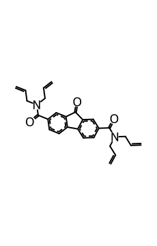 C=CCN(CC=C)C(=O)c1ccc2c(c1)C(=O)c1cc(C(=O)N(CC=C)CC=C)ccc1-2